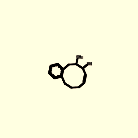 CC(=O)OC1Cc2ccccc2C[C]C/C=C\C1O